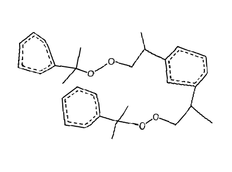 CC(COOC(C)(C)c1ccccc1)c1cccc(C(C)COOC(C)(C)c2ccccc2)c1